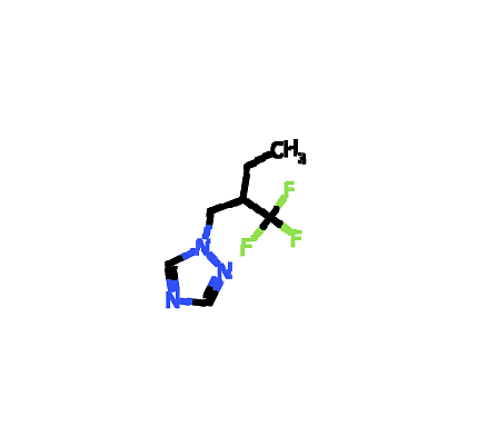 CCC(Cn1cncn1)C(F)(F)F